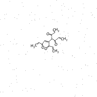 C=CC(=O)C=C([C](C(=O)C=C)C(=O)C=C)C(=O)C=C